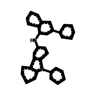 c1ccc(-c2cc(Nc3ccc4c(c3)c3ccccc3n4-c3ccccc3)c3ccccc3c2)cc1